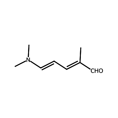 CC(C=O)=CC=CN(C)C